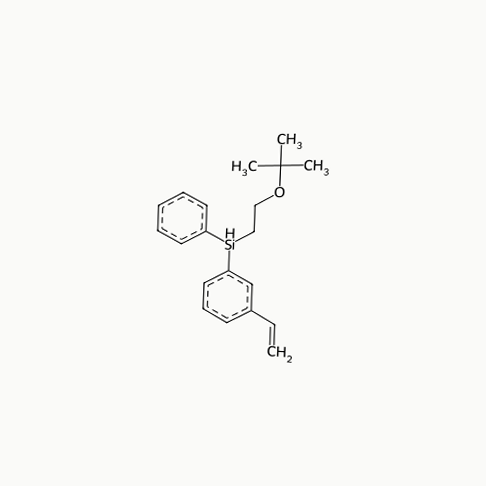 C=Cc1cccc([SiH](CCOC(C)(C)C)c2ccccc2)c1